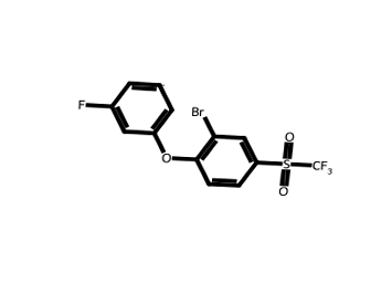 O=S(=O)(c1ccc(Oc2c[c]cc(F)c2)c(Br)c1)C(F)(F)F